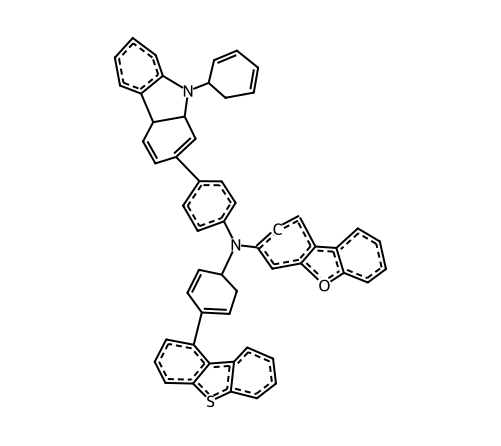 C1=CCC(N2c3ccccc3C3C=CC(c4ccc(N(c5ccc6c(c5)oc5ccccc56)C5C=CC(c6cccc7sc8ccccc8c67)=CC5)cc4)=CC32)C=C1